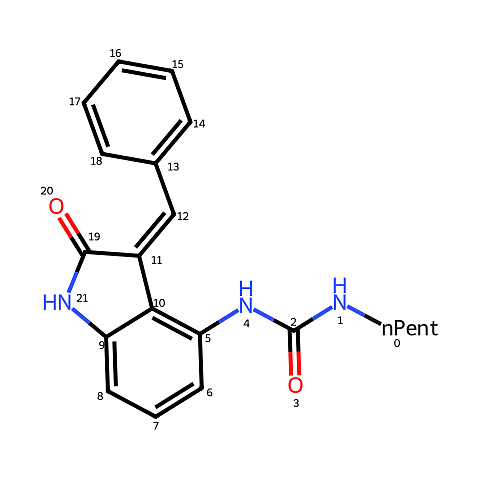 CCCCCNC(=O)Nc1cccc2c1C(=Cc1ccccc1)C(=O)N2